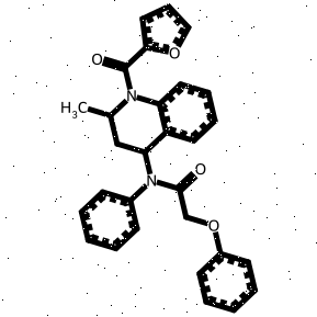 CC1CC(N(C(=O)COc2ccccc2)c2ccccc2)c2ccccc2N1C(=O)c1ccco1